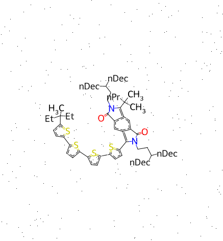 CCCCCCCCCCC(CCCCCCCCCC)CCN1C(=O)c2cc3c(cc2=C1c1ccc(-c2ccc(-c4ccc(-c5ccc(C(C)(CC)CC)s5)s4)s2)s1)C(=O)N(CCC(CCCCCCCCCC)CCCCCCCCCC)C=3C(C)(C)CCC